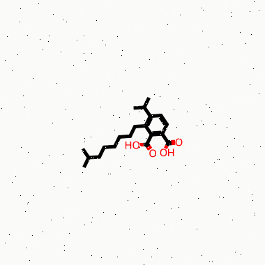 CC(C)CCCCCCc1c(C(C)C)ccc(C(=O)O)c1C(=O)O